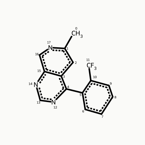 Cc1cc2c(-c3cc[c]cc3C(F)(F)F)ncnc2cn1